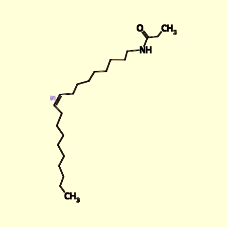 CCCCCCCCC/C=C\CCCCCCCCNC(=O)CC